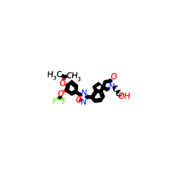 CC(C)Oc1ccc(-c2nc(-c3cccc4c3CC[C@]43CC(=O)N(CCO)C3)no2)cc1OC(F)F